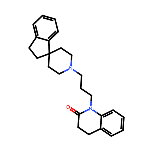 O=C1CCc2ccccc2N1CCCN1CCC2(CCc3ccccc32)CC1